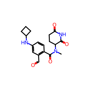 CN(C(=O)c1ccc(NC2CCC2)cc1C=O)C1CCC(=O)NC1=O